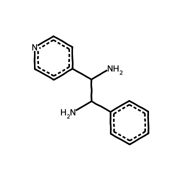 NC(c1ccccc1)C(N)c1ccncc1